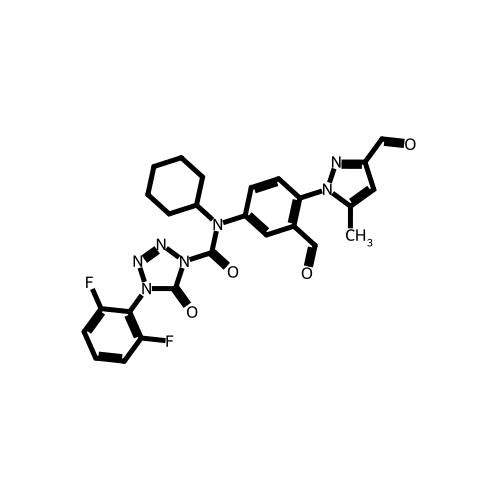 Cc1cc(C=O)nn1-c1ccc(N(C(=O)n2nnn(-c3c(F)cccc3F)c2=O)C2CCCCC2)cc1C=O